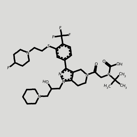 CC(C)(C)N(CC(=O)N1CCc2c(c(-c3ccc(C(F)(F)F)c(SCCN4CCC(F)CC4)c3)nn2CC(O)CN2CCCCC2)C1)C(=O)O